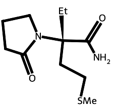 CC[C@](CCSC)(C(N)=O)N1CCCC1=O